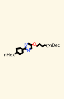 CCCCCCCCCCCCCCCOc1cnc(-c2ccc(CCCCCC)cc2)nc1